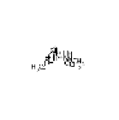 COc1ccc2c(c1)CC[C@H]1[C@@H]3[C@H](CCCNC(=O)NC(C)C)CC(=O)[C@@]3(C)CC[C@H]21